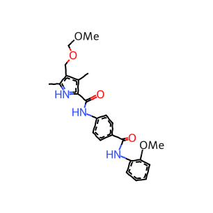 COCOCc1c(C)[nH]c(C(=O)Nc2ccc(C(=O)Nc3ccccc3OC)cc2)c1C